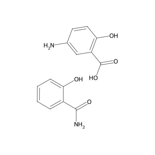 NC(=O)c1ccccc1O.Nc1ccc(O)c(C(=O)O)c1